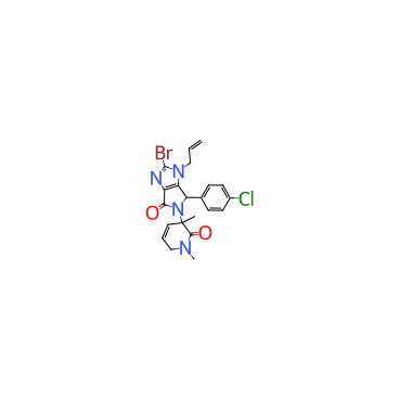 C=CCn1c(Br)nc2c1C(c1ccc(Cl)cc1)N(C1(C)C=CCN(C)C1=O)C2=O